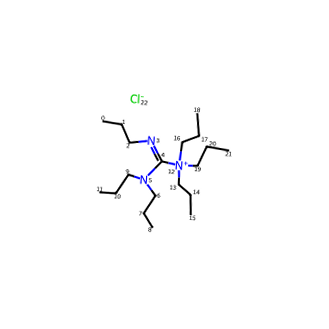 CCC/N=C(\N(CCC)CCC)[N+](CCC)(CCC)CCC.[Cl-]